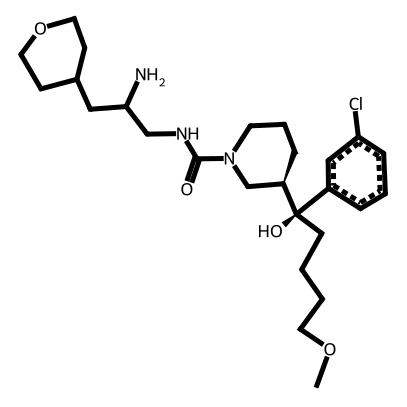 COCCCC[C@@](O)(c1cccc(Cl)c1)[C@@H]1CCCN(C(=O)NCC(N)CC2CCOCC2)C1